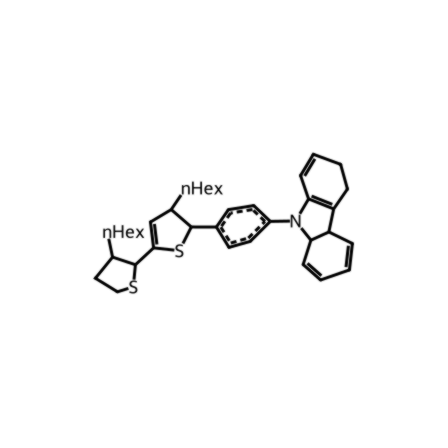 CCCCCCC1C=C(C2SCCC2CCCCCC)SC1c1ccc(N2C3=C(CCC=C3)C3C=CC=CC32)cc1